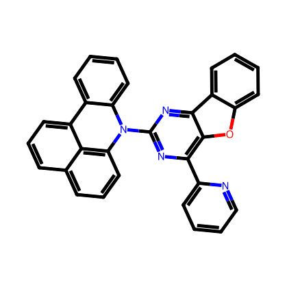 c1ccc(-c2nc(N3c4ccccc4-c4cccc5cccc3c45)nc3c2oc2ccccc23)nc1